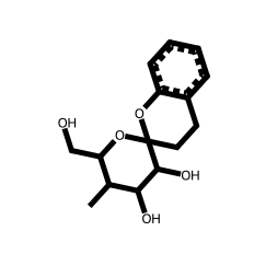 CC1C(CO)OC2(CCc3ccccc3O2)C(O)C1O